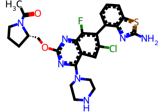 CC(=O)N1CCC[C@H]1COc1nc(N2CCNCC2)c2cc(Cl)c(-c3cccc4sc(N)nc34)c(F)c2n1